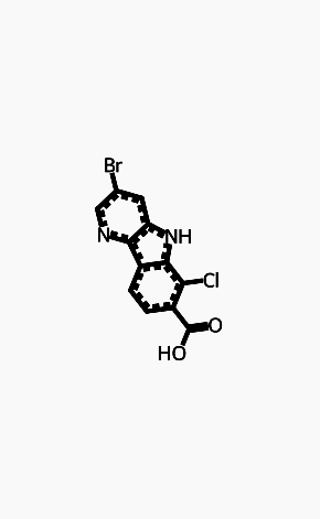 O=C(O)c1ccc2c([nH]c3cc(Br)cnc32)c1Cl